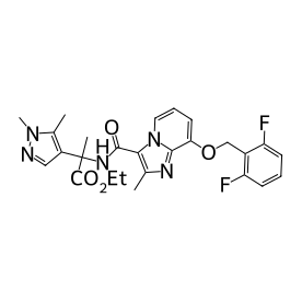 CCOC(=O)C(C)(NC(=O)c1c(C)nc2c(OCc3c(F)cccc3F)cccn12)c1cnn(C)c1C